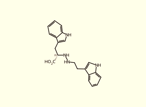 O=C(O)[C@H](Cc1c[nH]c2ccccc12)NNCCc1c[nH]c2ccccc12